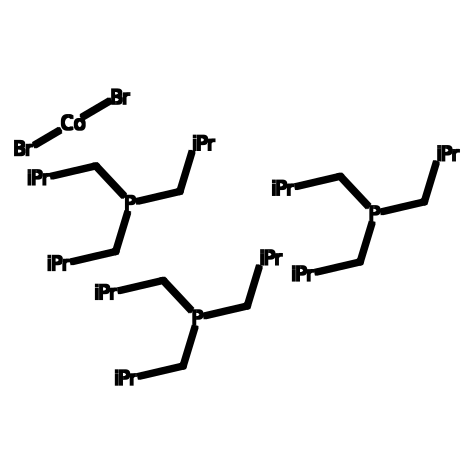 CC(C)CP(CC(C)C)CC(C)C.CC(C)CP(CC(C)C)CC(C)C.CC(C)CP(CC(C)C)CC(C)C.[Br][Co][Br]